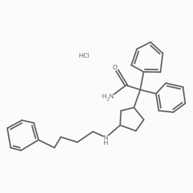 Cl.NC(=O)C(c1ccccc1)(c1ccccc1)C1CCC(NCCCCc2ccccc2)C1